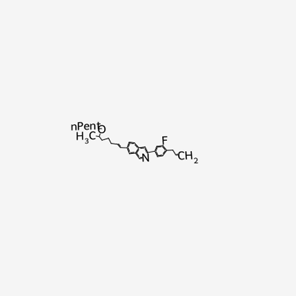 C=CCc1ccc(-c2cc3ccc(C=CCCCC(C)OCCCCC)cc3cn2)cc1F